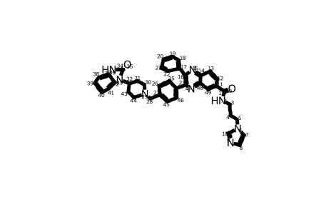 O=C(NCCCn1ccnc1)c1ccc2nc(-c3ccccc3)c(-c3ccc(CN4CCC(n5c(=O)[nH]c6ccccc65)CC4)cc3)nc2c1